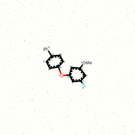 COc1cc(F)cc(Oc2ccc(C(C)C)cc2)c1